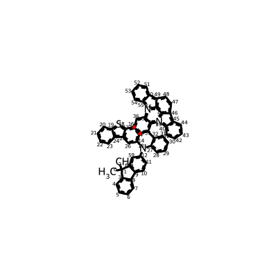 CC1(C)c2ccccc2-c2ccc(N(c3ccc4sc5ccccc5c4c3)c3ccccc3-c3cccc4c3n3c5ccccc5c5ccc6c7ccccc7n4c6c53)cc21